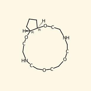 C1C[C@H]2OCCNCCOCCOCCNCCO[C@@H]2C1